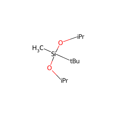 CC(C)O[Si](C)(OC(C)C)C(C)(C)C